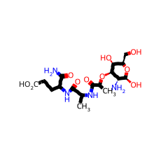 CC(NC(=O)C(C)O[C@@H]1[C@@H](N)[C@H](O)O[C@H](CO)[C@H]1O)C(=O)NC(CCC(=O)O)C(N)=O